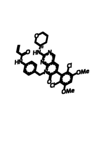 C=CC(=O)Nc1ccc(Cn2c(=O)c(-c3c(Cl)c(OC)cc(OC)c3Cl)cc3cnc(N[C@H]4CCCOC4)nc32)cc1